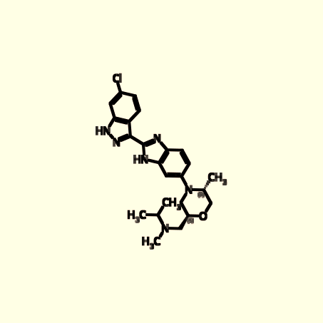 CC(C)N(C)C[C@H]1CN(c2ccc3nc(-c4n[nH]c5cc(Cl)ccc45)[nH]c3c2)[C@H](C)CO1